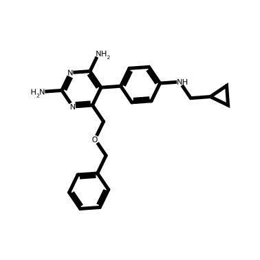 Nc1nc(N)c(-c2ccc(NCC3CC3)cc2)c(COCc2ccccc2)n1